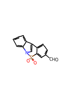 O=Cc1ccc2c(c1)S(=O)(=O)n1cc-2c2ccccc21